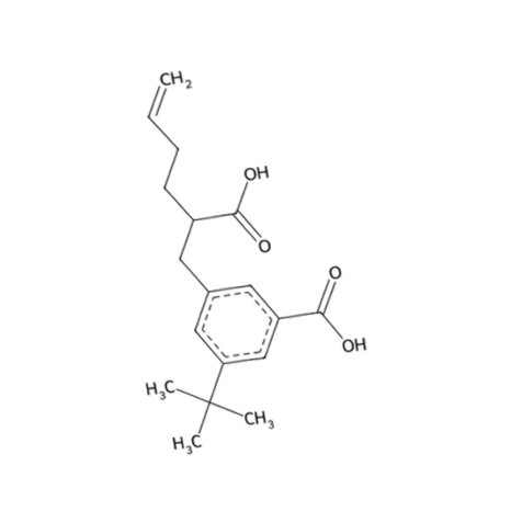 C=CCCC(Cc1cc(C(=O)O)cc(C(C)(C)C)c1)C(=O)O